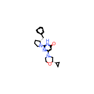 O=c1cc(N2CCO[C@@H](C3CC3)C2)nc(N2CCC[C@@H]2Cc2ccccc2)[nH]1